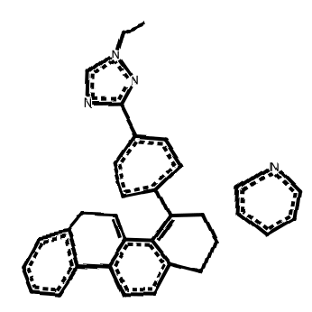 CCn1cnc(-c2ccc(C3=c4c(ccc5c4=CCc4ccccc4-5)CCC3)cc2)n1.c1ccncc1